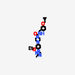 CCOc1cc(N2CCN(C(=O)NCc3cccc(OCC4CC4)c3)CC2)ccc1-n1cnc(C)n1